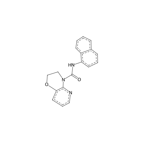 O=C(Nc1cccc2ccccc12)N1CCOc2cccnc21